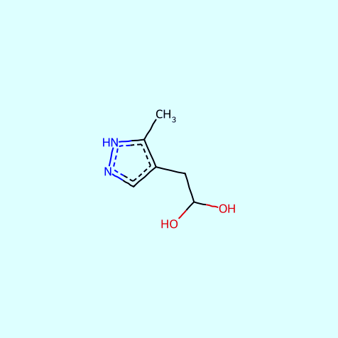 Cc1[nH]ncc1CC(O)O